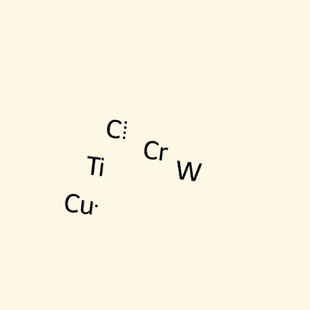 [C].[Cr].[Cu].[Ti].[W]